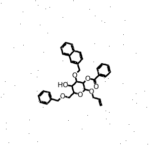 C=CCOC1OC(COCc2ccccc2)C(O)C(OCc2ccc3ccccc3c2)C1OC(=O)c1ccccc1